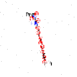 CCCOCCOCCOCCOCCOCCOCCOCCOCCNC(=O)CCN1C(=O)CC(C(C)C)C1=O